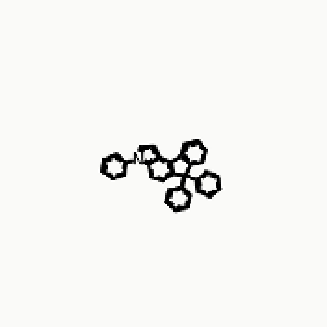 c1ccc(-n2ccc3c4c(ccc32)C(c2ccccc2)(c2ccccc2)c2ccccc2-4)cc1